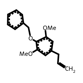 C=CCc1cc(OC)c(OCc2ccccc2)c(OC)c1